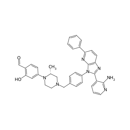 C[C@@H]1CN(Cc2ccc(-n3c(-c4cccnc4N)nc4ccc(-c5ccccc5)nc43)cc2)CCN1c1ccc(C=O)c(O)c1